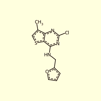 Cc1csc2c(NCc3ccco3)nc(Cl)nc12